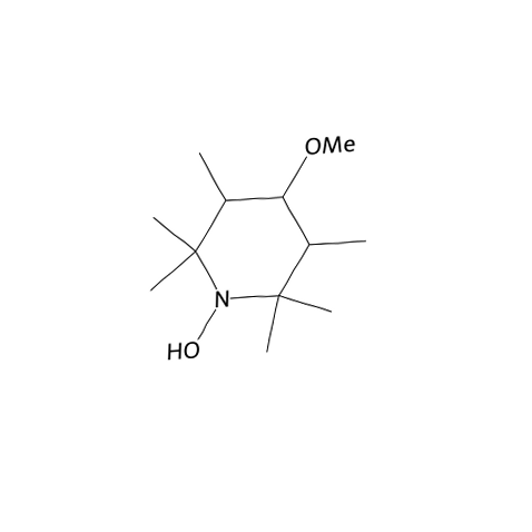 COC1C(C)C(C)(C)N(O)C(C)(C)C1C